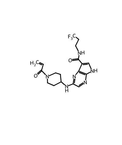 C=CC(=O)N1CCC(Nc2cnc3[nH]cc(C(=O)NCCC(F)(F)F)c3n2)CC1